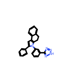 c1ccc(-c2cc3c(n2-c2cccc(-c4nn[nH]n4)c2)CCc2ccccc2-3)cc1